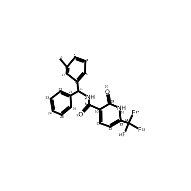 Cc1cccc(C(NC(=O)c2ccc(C(F)(F)F)[nH]c2=O)c2ccccc2)c1